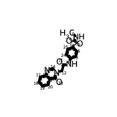 CNS(=O)(=O)c1ccc(NC(=O)Cn2cnc3ccccc3c2=O)cc1